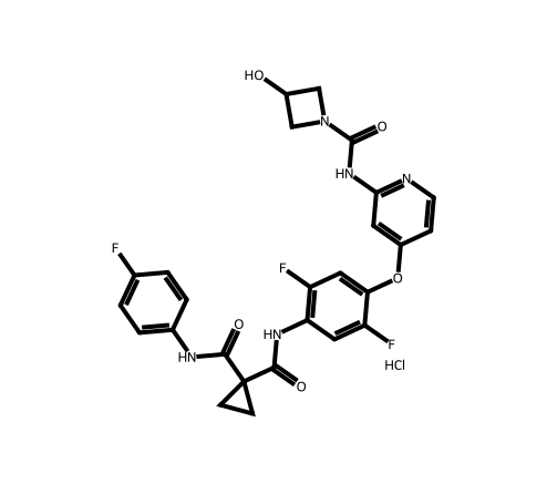 Cl.O=C(Nc1cc(Oc2cc(F)c(NC(=O)C3(C(=O)Nc4ccc(F)cc4)CC3)cc2F)ccn1)N1CC(O)C1